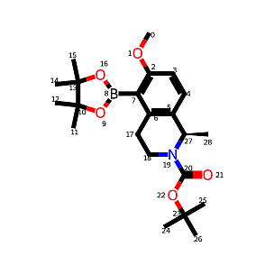 COc1ccc2c(c1B1OC(C)(C)C(C)(C)O1)CCN(C(=O)OC(C)(C)C)[C@@H]2C